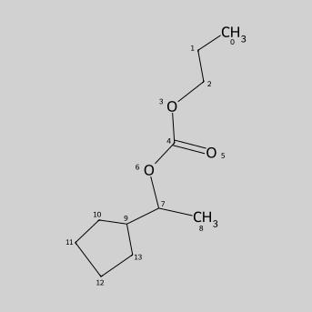 CCCOC(=O)OC(C)C1CCCC1